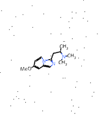 COc1ccn2c(C[C@@H](C)N(C)C)ncc2c1